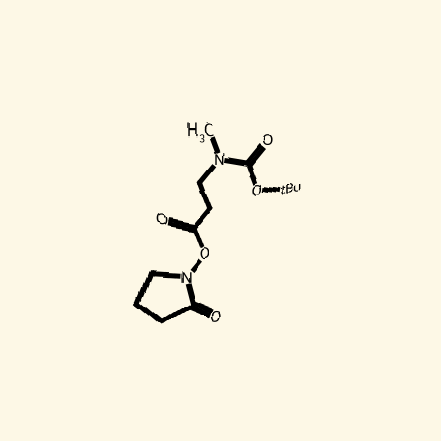 CN(CCC(=O)ON1CCCC1=O)C(=O)OC(C)(C)C